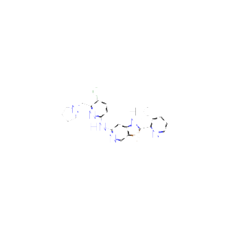 Cc1cccnc1-c1nc2cc(Nc3ccc(Cl)c(CN4CCCC4)n3)ncc2s1